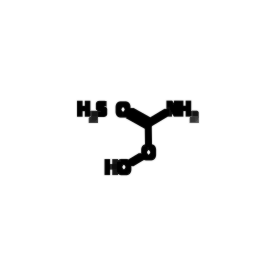 NC(=O)OO.S